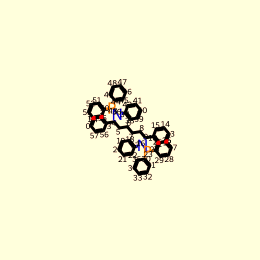 c1ccc(C(CCCCC(c2ccccc2)N(c2ccccc2)P(c2ccccc2)c2ccccc2)N(c2ccccc2)P(c2ccccc2)c2ccccc2)cc1